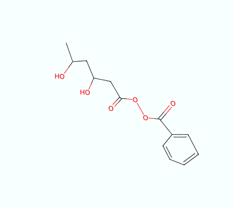 CC(O)CC(O)CC(=O)OOC(=O)c1ccccc1